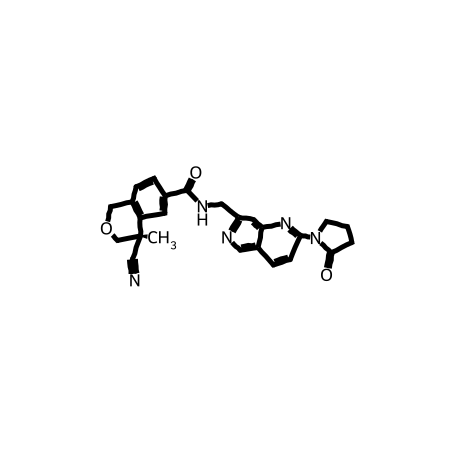 C[C@@]1(C#N)COCc2ccc(C(=O)NCc3cc4nc(N5CCCC5=O)ccc4cn3)cc21